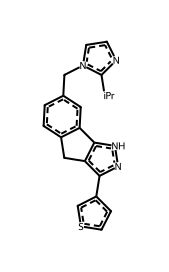 CC(C)c1nccn1Cc1ccc2c(c1)-c1[nH]nc(-c3ccsc3)c1C2